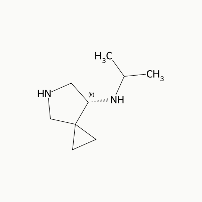 CC(C)N[C@H]1CNCC12CC2